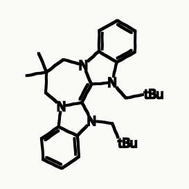 CC(C)(C)CN1C2=C3N(CC(C)(C)C)c4ccccc4N3CC(C)(C)CN2c2ccccc21